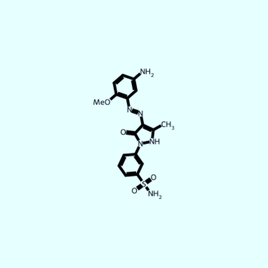 COc1ccc(N)cc1N=Nc1c(C)[nH]n(-c2cccc(S(N)(=O)=O)c2)c1=O